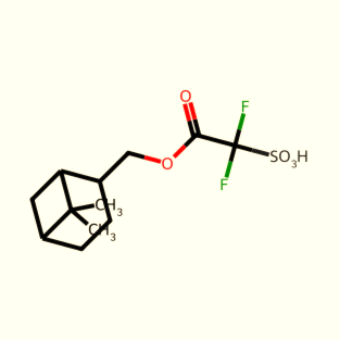 CC1(C)C2CCC(COC(=O)C(F)(F)S(=O)(=O)O)C1C2